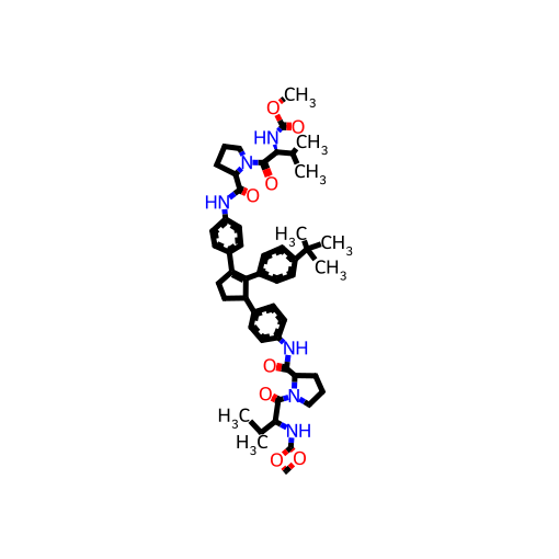 COC(=O)N[C@H](C(=O)N1CCCC1C(=O)Nc1ccc(C2=C(c3ccc(C(C)(C)C)cc3)C(c3ccc(NC(=O)C4CCCN4C(=O)C(NC4OCO4)C(C)C)cc3)CC2)cc1)C(C)C